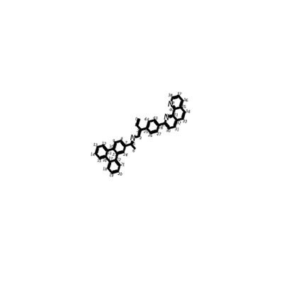 C=C/C(=C\N=C(/C)c1ccc2c3ccccc3c3ccccc3c2c1)c1ccc(-c2ccc3ccc4cccnc4c3n2)cc1